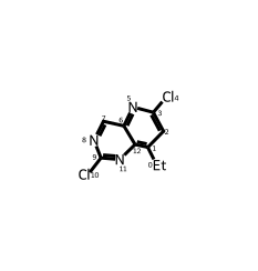 CCc1cc(Cl)nc2cnc(Cl)nc12